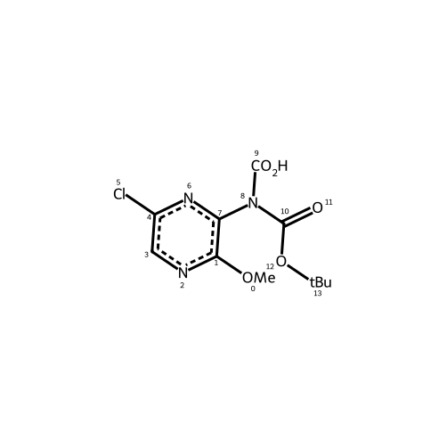 COc1ncc(Cl)nc1N(C(=O)O)C(=O)OC(C)(C)C